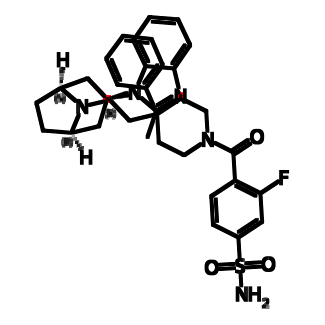 Cc1nc2ccccc2n1[C@H]1C[C@H]2CC[C@@H](C1)N2CCC1(c2ccccc2)CCN(C(=O)c2ccc(S(N)(=O)=O)cc2F)CC1